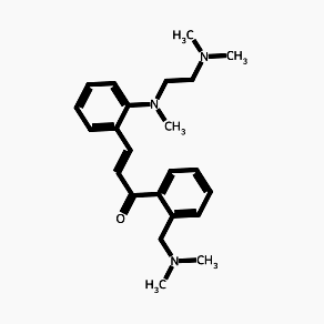 CN(C)CCN(C)c1ccccc1C=CC(=O)c1ccccc1CN(C)C